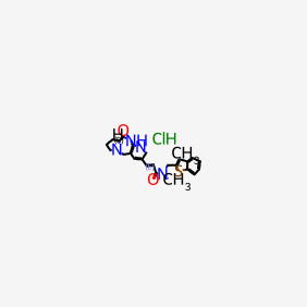 Cc1c(CN(C)C(=O)/C=C/c2cnc3c(c2)CN2CCC[C@@H]2C(=O)N3)sc2ccccc12.Cl